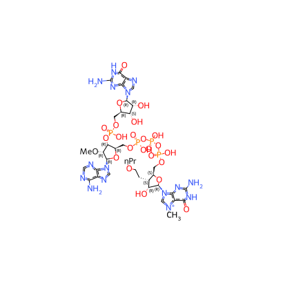 CCCOCC[C@H]1[C@@H](O)[C@H](n2c[n+](C)c3c(=O)[nH]c(N)nc32)O[C@@H]1COP(=O)(O)OP(=O)(O)OP(=O)(O)OC[C@H]1O[C@@H](n2cnc3c(N)ncnc32)[C@H](OC)[C@@H]1OP(=O)(O)OC[C@H]1O[C@@H](n2cnc3c(=O)[nH]c(N)nc32)[C@H](O)[C@@H]1O